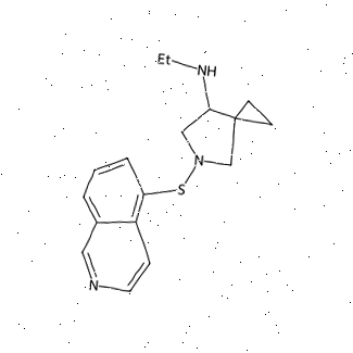 CCNC1CN(Sc2cccc3cnccc23)CC12CC2